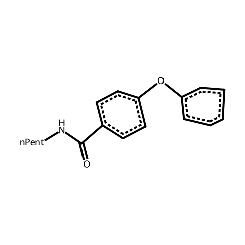 CCCCCNC(=O)c1ccc(Oc2ccccc2)cc1